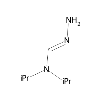 CC(C)N(C=NN)C(C)C